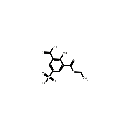 CCOC(=O)c1cc(S(=O)(=O)O)cc(C(=O)O)c1O